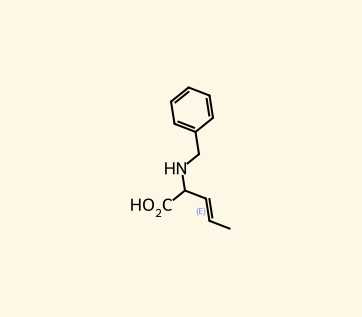 C/C=C/C(NCc1ccccc1)C(=O)O